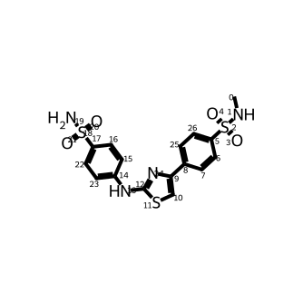 CNS(=O)(=O)c1ccc(-c2csc(Nc3ccc(S(N)(=O)=O)cc3)n2)cc1